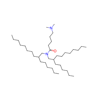 CCCCCCCCC(CCCCCC)CN(CC(CCCCCC)CCCCCCCC)C(=O)CCCCN(C)C